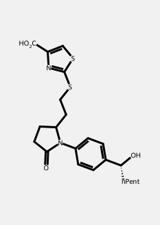 CCCCC[C@@H](O)c1ccc(N2C(=O)CCC2CCSc2nc(C(=O)O)cs2)cc1